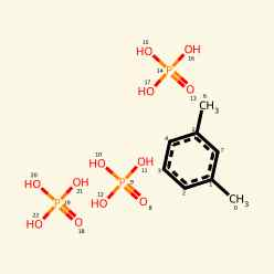 Cc1cccc(C)c1.O=P(O)(O)O.O=P(O)(O)O.O=P(O)(O)O